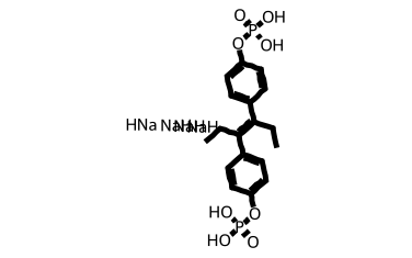 CC/C(=C(/CC)c1ccc(OP(=O)(O)O)cc1)c1ccc(OP(=O)(O)O)cc1.[NaH].[NaH].[NaH].[NaH]